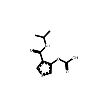 CC(C)NC(=O)c1cscc1OC(=O)O